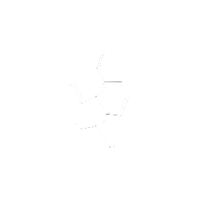 C=CC(=C(/S)CCCC)/C(C=C)=C(\C)C=C